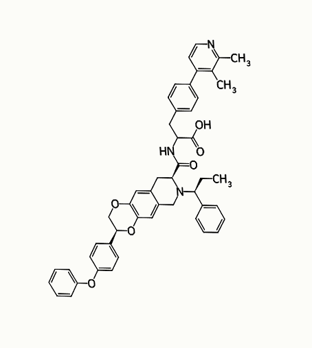 CC[C@@H](c1ccccc1)N1Cc2cc3c(cc2C[C@H]1C(=O)NC(Cc1ccc(-c2ccnc(C)c2C)cc1)C(=O)O)OC[C@H](c1ccc(Oc2ccccc2)cc1)O3